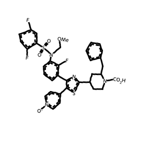 COCN(c1cccc(-c2nc(C3CCN(C(=O)O)C(Cc4ccccc4)C3)sc2-c2cc[n+]([O-])cc2)c1F)S(=O)(=O)c1cc(F)ccc1F